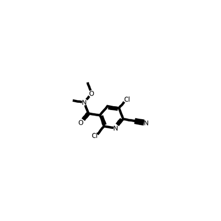 CON(C)C(=O)c1cc(Cl)c(C#N)nc1Cl